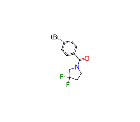 CC(C)(C)c1ccc(C(=O)N2CCC(F)(F)C2)cc1